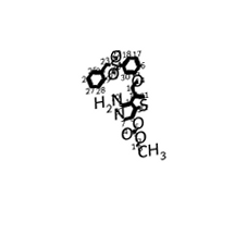 CCOC(=O)Oc1cnc(N)c2c(COc3cccc(S(=O)(=O)Cc4ccccc4)c3)csc12